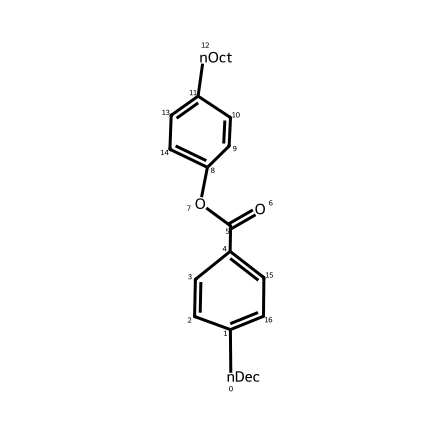 CCCCCCCCCCc1ccc(C(=O)Oc2ccc(CCCCCCCC)cc2)cc1